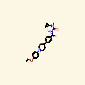 CCOc1ccc(N2CCC(c3ccc([C@H](C)NC(=O)N(C)C4CC4)cc3)CC2)cc1